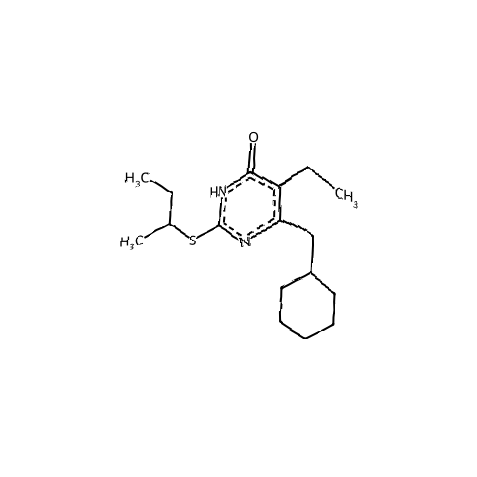 CCc1c(CC2CCCCC2)nc(SC(C)CC)[nH]c1=O